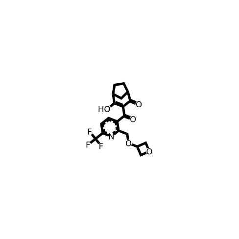 O=C(C1=C(O)C2CCC(C2)C1=O)c1ccc(C(F)(F)F)nc1COC1COC1